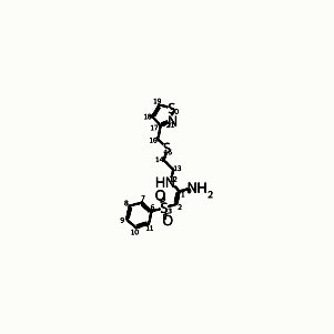 NC(=CS(=O)(=O)c1ccccc1)NCCSCc1ccsn1